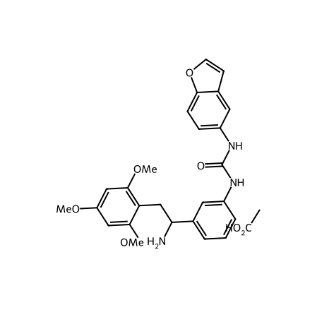 CC(=O)O.COc1cc(OC)c(CC(N)c2cccc(NC(=O)Nc3ccc4occc4c3)c2)c(OC)c1